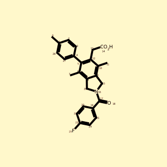 Cc1ccc(-c2c(C)c3c(c(C)c2CC(=O)O)CN(C(=O)c2ccc(F)cc2)C3)cc1